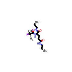 CC(C)(C)CCNC(=O)CCC(NC(=O)C(C)(C)I)C(=O)NCCC(C)(C)C